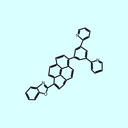 c1ccc(-c2cc(-c3ccccn3)cc(-c3ccc4ccc5c(-c6nc7ccccc7o6)ccc6ccc3c4c65)c2)nc1